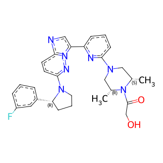 C[C@@H]1CN(c2cccc(-c3cnc4ccc(N5CCC[C@@H]5c5cccc(F)c5)nn34)n2)C[C@H](C)N1C(=O)CO